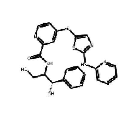 O=C(NC(CO)[C@@H](O)c1ccccc1)c1cc(Sc2cnc(Nc3ccccn3)s2)ccn1